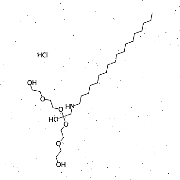 CCCCCCCCCCCCCCCCCCNCC(O)(OCCOCCO)OCCOCCO.Cl